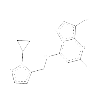 CC(C)c1cnn2c(NCc3ccnn3C3CC3)cc(Cl)nc12